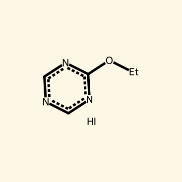 CCOc1ncncn1.I